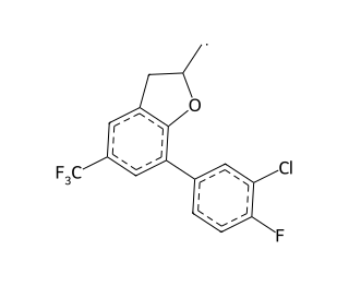 [CH2]C1Cc2cc(C(F)(F)F)cc(-c3ccc(F)c(Cl)c3)c2O1